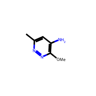 COc1nnc(C)cc1N